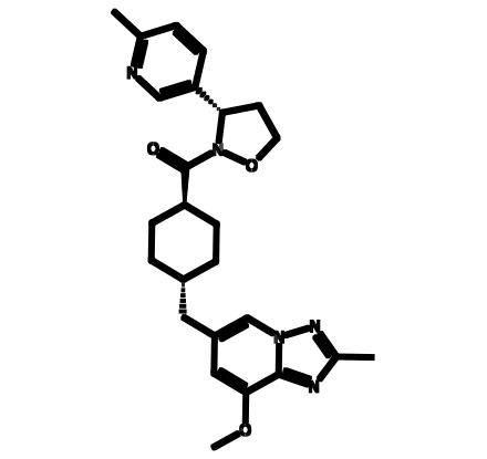 COc1cc(C[C@H]2CC[C@H](C(=O)N3OCC[C@H]3c3ccc(C)nc3)CC2)cn2nc(C)nc12